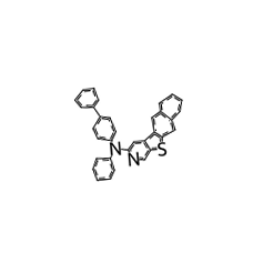 c1ccc(-c2ccc(N(c3ccccc3)c3cc4c(cn3)sc3cc5ccccc5cc34)cc2)cc1